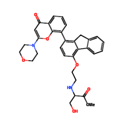 COC(=O)C(CO)NCCOc1ccc(-c2cccc3c(=O)cc(N4CCOCC4)oc23)c2c1-c1ccccc1C2